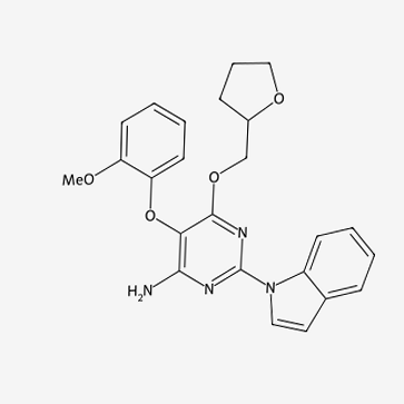 COc1ccccc1Oc1c(N)nc(-n2ccc3ccccc32)nc1OCC1CCCO1